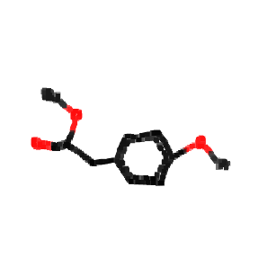 CC(C)Oc1ccc(CC(=O)OC(C)(C)C)cc1